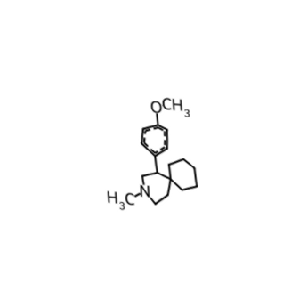 COc1ccc(C2CN(C)CCC23CCCCC3)cc1